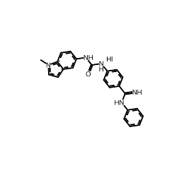 Cn1ccc2cc(NC(=O)Nc3ccc(C(=N)Nc4ccccc4)cc3)ccc21.I